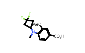 COc1cc(C(=O)O)ccc1N(C)C1CC(F)(F)C1